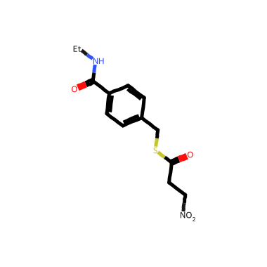 CCNC(=O)c1ccc(CSC(=O)CC[N+](=O)[O-])cc1